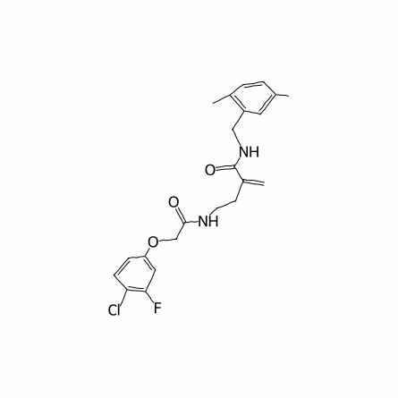 C=C(CCNC(=O)COc1ccc(Cl)c(F)c1)C(=O)NCc1cc(C)ccc1C